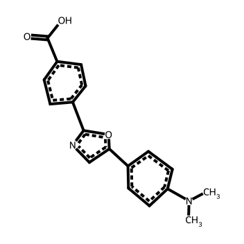 CN(C)c1ccc(-c2cnc(-c3ccc(C(=O)O)cc3)o2)cc1